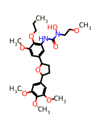 CCCOc1c(NC(=O)N(O)CCOC)cc(C2CCC(c3cc(OC)c(OC)c(OC)c3)O2)cc1OC